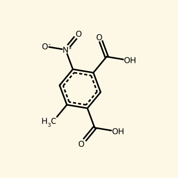 Cc1cc([N+](=O)[O-])c(C(=O)O)cc1C(=O)O